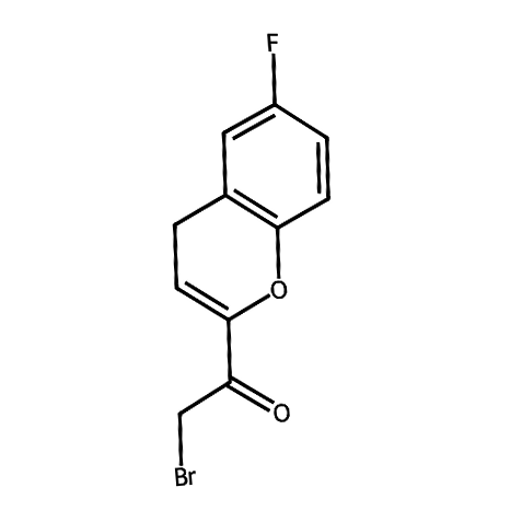 O=C(CBr)C1=CCc2cc(F)ccc2O1